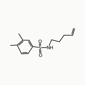 C=CCCCNS(=O)(=O)c1ccc(C)c(C)c1